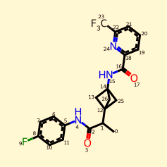 CC(C(=O)Nc1ccc(F)cc1)C12CC(NC(=O)c3cccc(C(F)(F)F)n3)(C1)C2